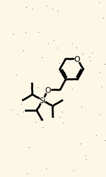 CC(C)[Si](OCC1=CCOC=C1)(C(C)C)C(C)C